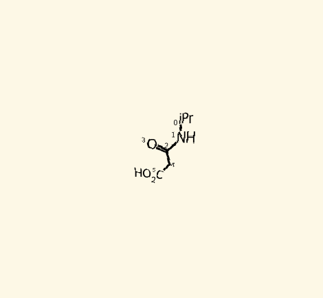 CC(C)NC(=O)CC(=O)O